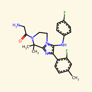 Cc1ccc(-c2nc3n(c2Nc2ccc(F)cc2)CCN(C(=O)CN)C3(C)C)c(F)c1